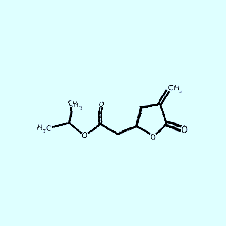 C=C1CC(CC(=O)OC(C)C)OC1=O